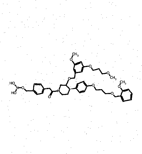 COCCCOc1cc(COC2CN(C(=O)Cc3ccc(CON(O)O)cc3)CC[C@@H]2c2ccc(OCCCOCc3ccccc3OC)cc2)cc(OC)c1